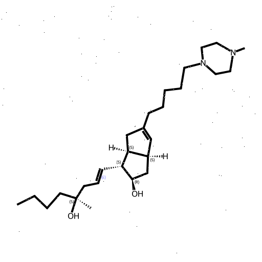 CCCC[C@](C)(O)C/C=C/[C@@H]1[C@H]2CC(CCCCCN3CCN(C)CC3)=C[C@H]2C[C@H]1O